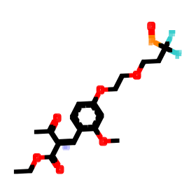 CCOC(=O)/C(=C/c1ccc(OCCOCCC(F)(F)P=O)cc1OC)C(C)=O